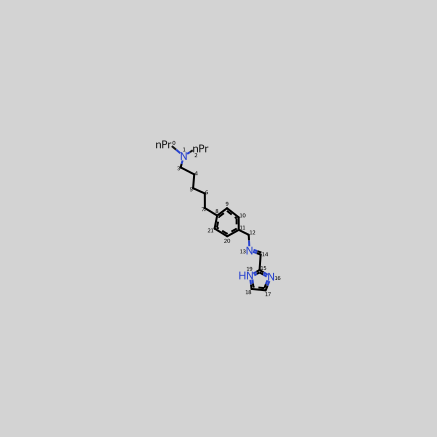 CCCN(CCC)CCCC[CH]c1ccc(CN=Cc2ncc[nH]2)cc1